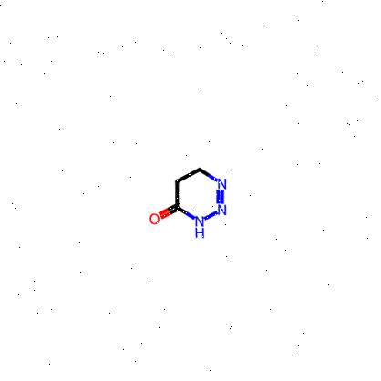 O=C1CCN=NN1